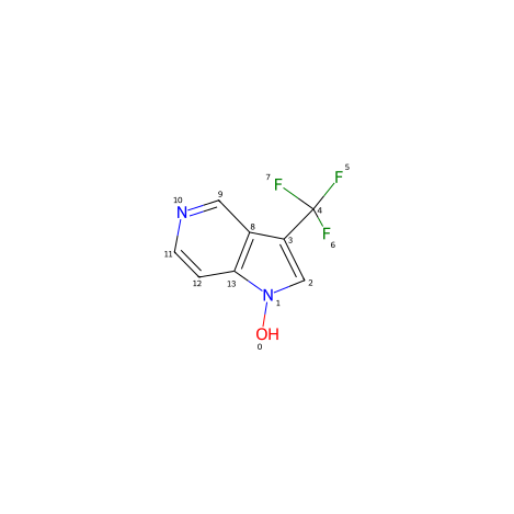 On1cc(C(F)(F)F)c2cnccc21